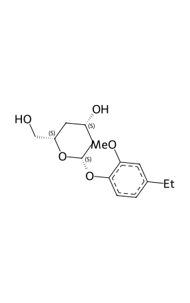 CCc1ccc(O[C@H]2C[C@@H](O)C[C@@H](CO)O2)c(OC)c1